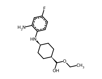 CCOC(O)[C@H]1CC[C@@H](Nc2ccc(F)cc2N)CC1